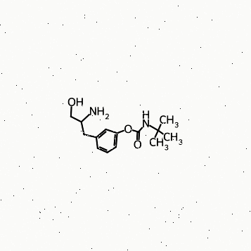 CC(C)(C)NC(=O)Oc1cccc(CC(N)CO)c1